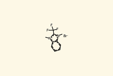 Cn1c(C(F)(F)F)[n+](C)c2ccccc21.[Br-]